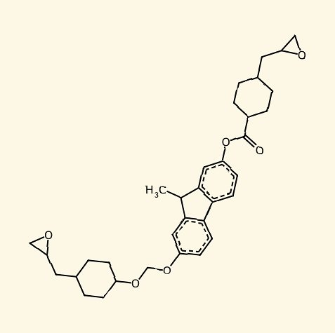 CC1c2cc(OCOC3CCC(CC4CO4)CC3)ccc2-c2ccc(OC(=O)C3CCC(CC4CO4)CC3)cc21